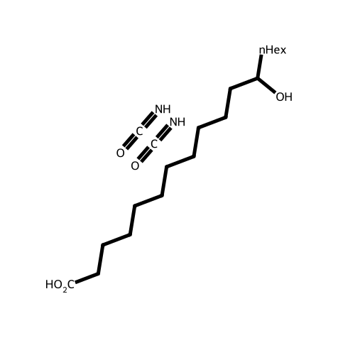 CCCCCCC(O)CCCCCCCCCCC(=O)O.N=C=O.N=C=O